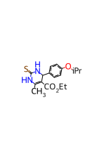 CCOC(=O)C1=C(C)NC(=S)NC1c1ccc(OC(C)C)cc1